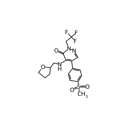 CS(=O)(=O)c1ccc(-c2cnn(CC(F)(F)F)c(=O)c2NCC2CCCO2)cc1